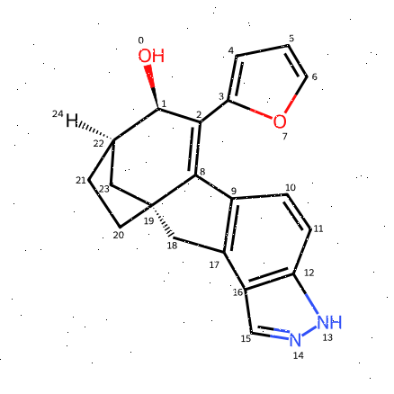 O[C@H]1C(c2ccco2)=C2c3ccc4[nH]ncc4c3C[C@@]23CC[C@@H]1C3